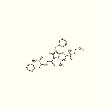 CCCS(=N)(=O)c1nc(N)c2c(n1)n(Cc1ccccc1)c(=O)n2C(=O)CN[C@@H](Cc1ccccc1)C(=O)O